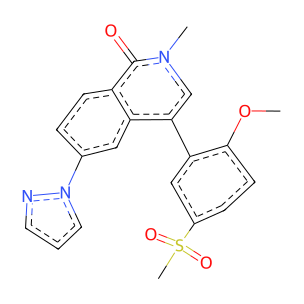 COc1ccc(S(C)(=O)=O)cc1-c1cn(C)c(=O)c2ccc(-n3cccn3)cc12